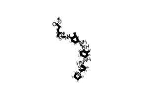 COC(=O)CCc1csc(/N=N/c2ccc(NCNc3ccc(NNc4ccc(N5CCCC5)s4)cc3C)cc2C)n1